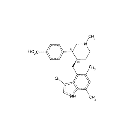 Cc1cc(C)c2[nH]cc(Cl)c2c1C[C@@H]1CCN(C)C[C@H]1c1ccc(C(=O)O)cc1